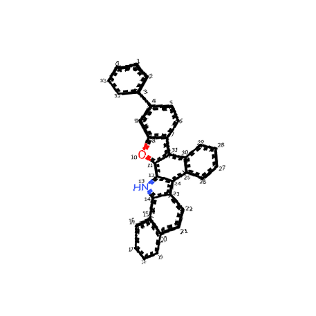 c1ccc(-c2ccc3c(c2)oc2c4[nH]c5c6ccccc6ccc5c4c4ccccc4c32)cc1